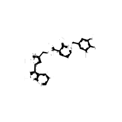 O=C(NCc1cc(-c2c[nH]c3ncccc23)[nH]n1)c1cccn(Cc2cc(F)c(F)c(F)c2)c1=O